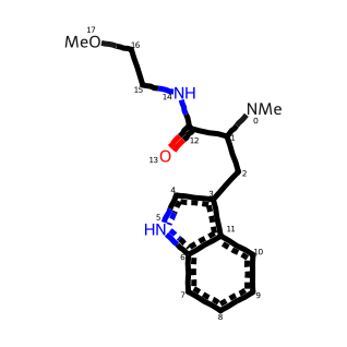 CNC(Cc1c[nH]c2ccccc12)C(=O)NCCOC